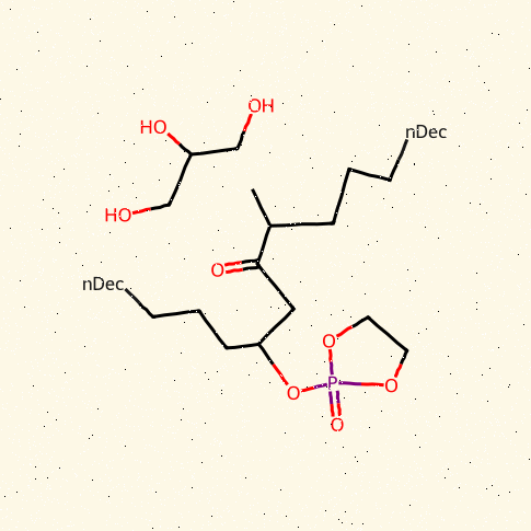 CCCCCCCCCCCCCC(CC(=O)C(C)CCCCCCCCCCCCC)OP1(=O)OCCO1.OCC(O)CO